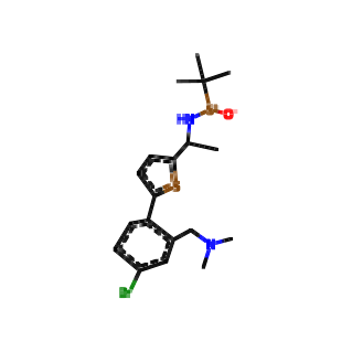 CC(N[S+]([O-])C(C)(C)C)c1ccc(-c2ccc(Br)cc2CN(C)C)s1